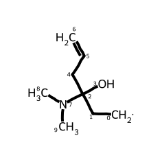 [CH2]CC(O)(CC=C)N(C)C